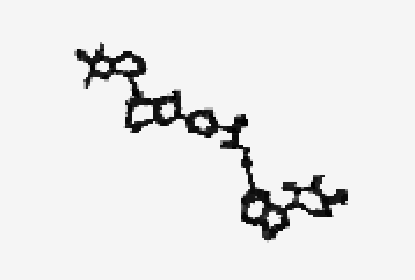 Cc1cc2c(N3CCOc4cc(-c5ccc(C(=O)NCC#Cc6ccc7occ(C8CCC(=O)NC8=O)c7c6)nc5)ncc43)cccc2n(C)c1=O